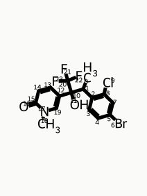 CC(c1ccc(Br)cc1Cl)C(O)(c1ccc(=O)n(C)c1)C(F)(F)F